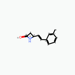 Cc1cccc(C=CC2CC(=O)N2)c1